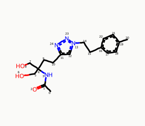 CC(=O)NC(CO)(CO)CCc1cn(CCc2ccc(C)cc2)nn1